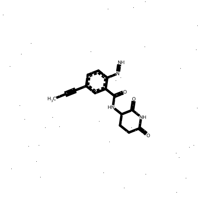 CC#Cc1ccc(N=N)c(C(=O)NC2CCC(=O)NC2=O)c1